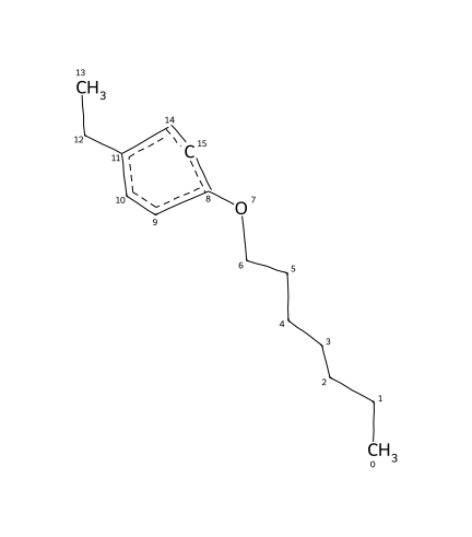 CCCCCCCOc1ccc(CC)cc1